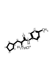 Cc1ccc(NC(=O)C(N)CC2CCCC2)cn1.Cl